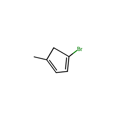 CC1=CC=C(Br)C1